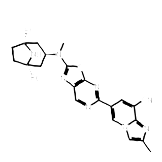 CC[C@]12CC[C@](CC)(C[C@H](N(C)c3nc4cnc(-c5cc(C#N)c6nc(C)cn6c5)nc4s3)C1)N2